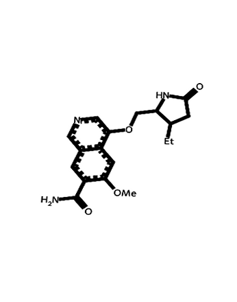 CCC1CC(=O)NC1COc1cncc2cc(C(N)=O)c(OC)cc12